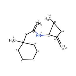 C=C(CC1(C)CCCCC1)NC1C(=C)CC1C